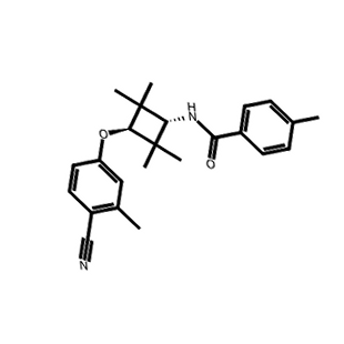 Cc1ccc(C(=O)N[C@H]2C(C)(C)[C@H](Oc3ccc(C#N)c(C)c3)C2(C)C)cc1